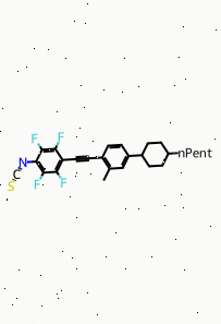 CCCCCC1CCC(c2ccc(C#Cc3c(F)c(F)c(N=C=S)c(F)c3F)c(C)c2)CC1